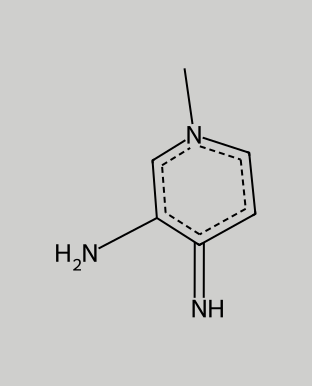 Cn1ccc(=N)c(N)c1